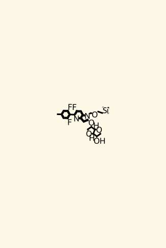 Cc1cc(F)c(-c2nc3cc(O[C@@H]4CO[C@H]5[C@@H]4OC[C@H]5O)n(COCC[Si](C)(C)C)c3cc2F)c(F)c1